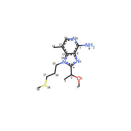 COC(C)c1nc2c(N)ncc(C)c2n1CCCSC